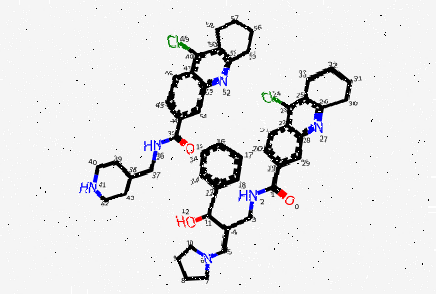 O=C(NCC(CN1CCCC1)C(O)c1ccccc1)c1ccc2c(Cl)c3c(nc2c1)CCCC3.O=C(NCC1CCNCC1)c1ccc2c(Cl)c3c(nc2c1)CCCC3